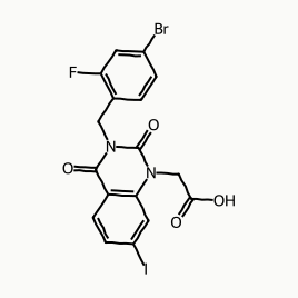 O=C(O)Cn1c(=O)n(Cc2ccc(Br)cc2F)c(=O)c2ccc(I)cc21